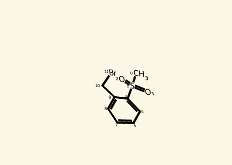 CS(=O)(=O)c1ccccc1CBr